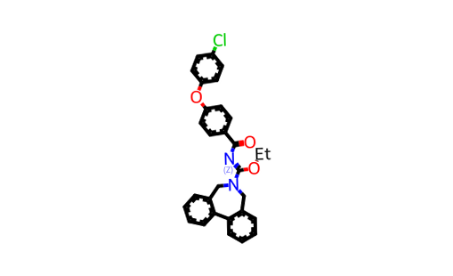 CCO/C(=N\C(=O)c1ccc(Oc2ccc(Cl)cc2)cc1)N1Cc2ccccc2-c2ccccc2C1